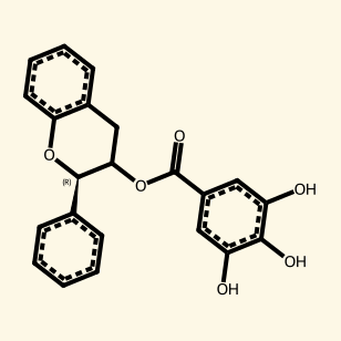 O=C(OC1Cc2ccccc2O[C@@H]1c1ccccc1)c1cc(O)c(O)c(O)c1